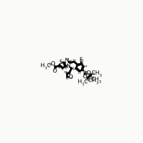 COC(=O)c1cc2c(nc(Cc3ccc(B4OC(C)(C)C(C)(C)O4)cc3F)n2CC2CCO2)s1